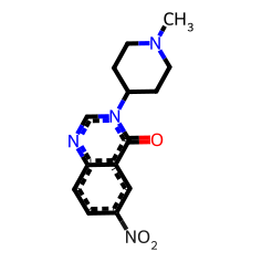 CN1CCC(n2cnc3ccc([N+](=O)[O-])cc3c2=O)CC1